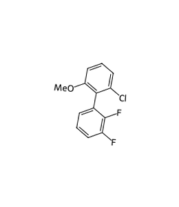 COc1cccc(Cl)c1-c1cccc(F)c1F